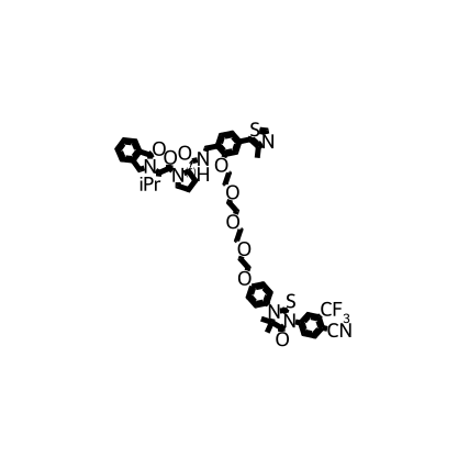 Cc1ncsc1-c1ccc(CNC(=O)[C@@H]2CCCN2C(=O)C(C(C)C)N2Cc3ccccc3C2=O)c(OCCOCCOCCOCCOc2ccc(N3C(=S)N(c4ccc(C#N)c(C(F)(F)F)c4)C(=O)C3(C)C)cc2)c1